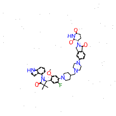 COc1cc(N2CCC(CN3CCN(c4ccc5c(c4)CN([C@H]4CCC(=O)NC4=O)C5=O)CC3)CC2)c(F)cc1[C@@H]1N(c2cccc3[nH]ccc23)C(=O)C1(C)C